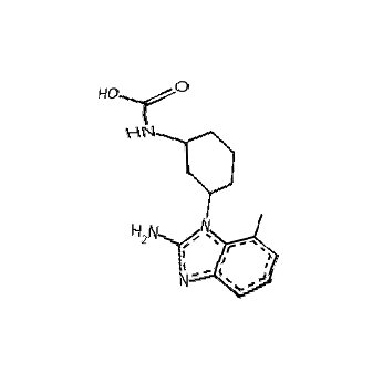 Cc1cccc2nc(N)n(C3CCCC(NC(=O)O)C3)c12